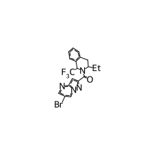 CCC1Cc2ccccc2C(C(F)(F)F)N1C(=O)c1cc2ncc(Br)cn2n1